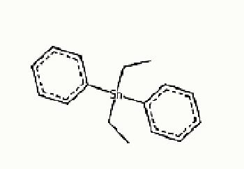 C[CH2][Sn]([CH2]C)([c]1ccccc1)[c]1ccccc1